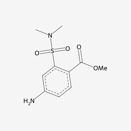 COC(=O)c1ccc(N)cc1S(=O)(=O)N(C)C